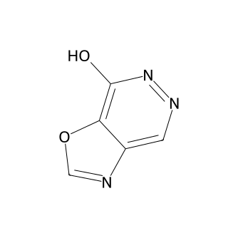 Oc1nncc2ncoc12